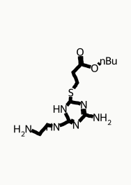 CCCCOC(=O)CCSC1N=C(N)N=C(NCCN)N1